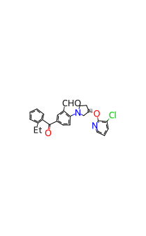 CCc1ccccc1C(=O)c1ccc(N2CC[C@H](Oc3ncccc3Cl)C2)c(C=O)c1